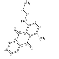 NCCNc1ccc(N)c2c1C(=O)c1cnccc1C2=O